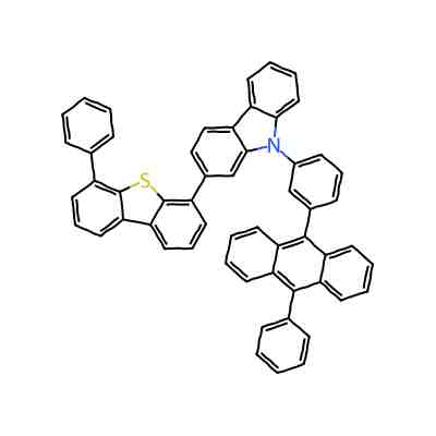 c1ccc(-c2c3ccccc3c(-c3cccc(-n4c5ccccc5c5ccc(-c6cccc7c6sc6c(-c8ccccc8)cccc67)cc54)c3)c3ccccc23)cc1